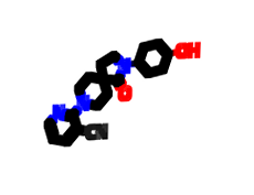 N#Cc1cccnc1N1CCC2(CC1)CCN([C@H]1CC[C@@H](O)CC1)C2=O